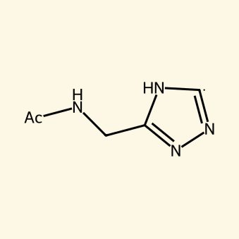 CC(=O)NCc1nn[c][nH]1